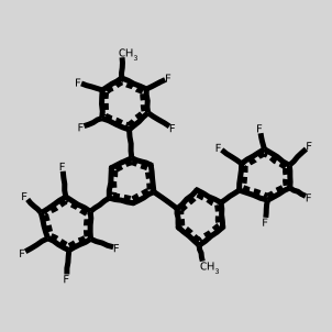 Cc1cc(-c2cc(-c3c(F)c(F)c(C)c(F)c3F)cc(-c3c(F)c(F)c(F)c(F)c3F)c2)cc(-c2c(F)c(F)c(F)c(F)c2F)c1